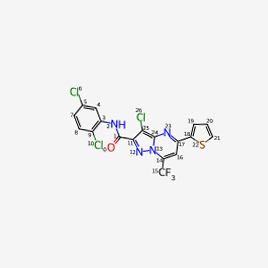 O=C(Nc1cc(Cl)ccc1Cl)c1nn2c(C(F)(F)F)cc(-c3cccs3)nc2c1Cl